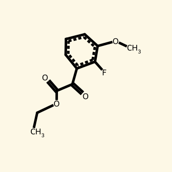 CCOC(=O)C(=O)c1cccc(OC)c1F